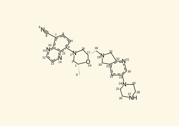 C[C@@H]1CN(c2ccc(C#N)c3nccnc23)C[C@H](CN2Cc3cc(N4CCNCC4)cnc3C2)O1